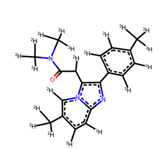 [2H]c1c([2H])c(C([2H])([2H])[2H])c([2H])c([2H])c1-c1nc2c([2H])c([2H])c(C([2H])([2H])[2H])c([2H])n2c1C([2H])C(=O)N(C([2H])([2H])[2H])C([2H])([2H])[2H]